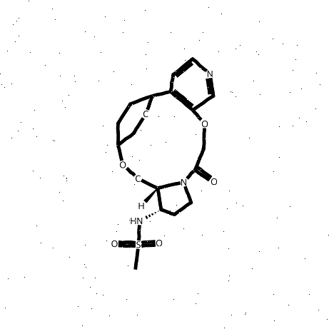 CS(=O)(=O)N[C@H]1CCN2C(=O)COc3cnccc3C3CCC(CC3)OC[C@@H]12